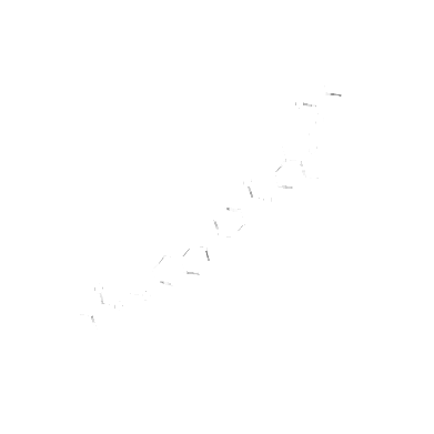 C=C(C)C(=O)OCOc1ccc2cc(-c3ccc(C(=O)Oc4cc(C)c(OCOC(=O)C(=C)C)c(C)c4)cc3)ccc2c1